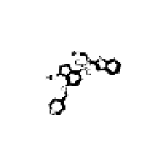 CC(C)CN(c1cc2ccccc2s1)S(=O)(=O)c1ccc(OCC2CCOCC2)c2c1CCC2O